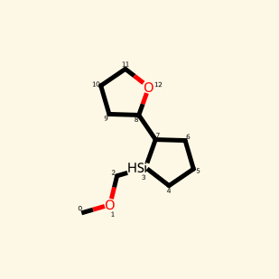 COC[SiH]1CCCC1C1CCCO1